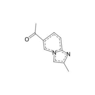 CC(=O)c1ccc2nc(C)cn2c1